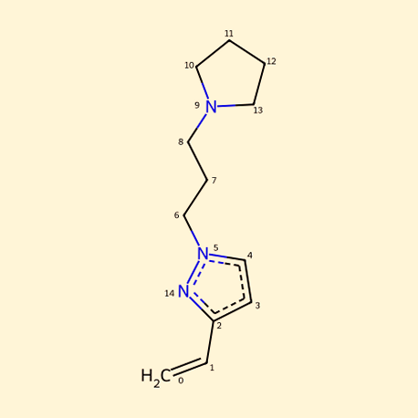 C=Cc1ccn(CCCN2CCCC2)n1